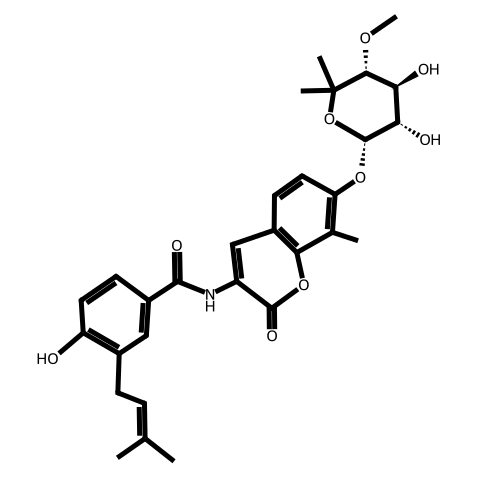 CO[C@@H]1[C@@H](O)[C@H](O)[C@H](Oc2ccc3cc(NC(=O)c4ccc(O)c(CC=C(C)C)c4)c(=O)oc3c2C)OC1(C)C